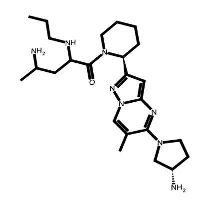 CCCNC(CC(C)N)C(=O)N1CCCC[C@H]1c1cc2nc(N3CC[C@H](N)C3)c(C)cn2n1